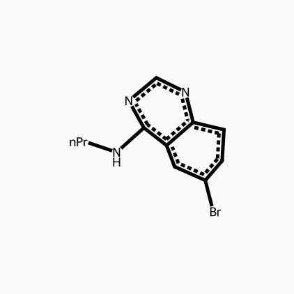 CCCNc1ncnc2ccc(Br)cc12